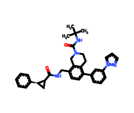 CC(C)(C)NC(=O)N1CCc2c(-c3cccc(-n4cccn4)c3)ccc(CNC(=O)C3C[C@@H]3c3ccccc3)c2C1